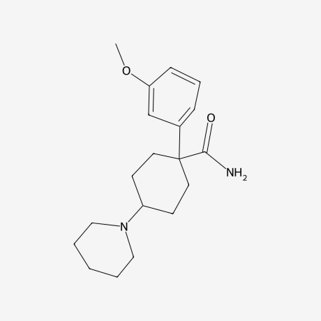 COc1cccc(C2(C(N)=O)CCC(N3CCCCC3)CC2)c1